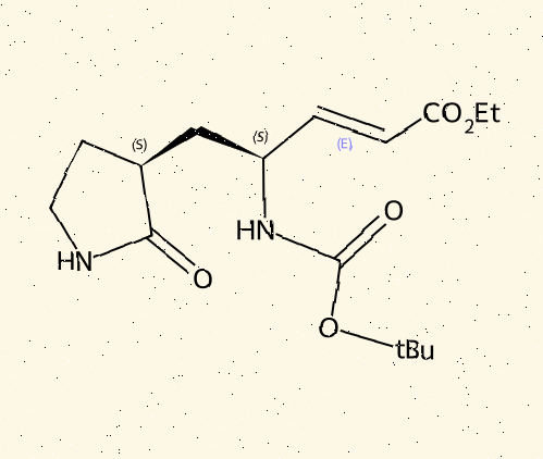 CCOC(=O)/C=C/[C@H](C[C@@H]1CCNC1=O)NC(=O)OC(C)(C)C